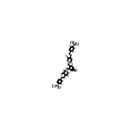 CCN(CC)c1ccc(/C=C/c2cc[n+](Cc3ccccc3C[n+]3ccc(/C=C/c4ccc(N(CC)CC)cc4)c(C)c3)cc2C)cc1.[Br-].[Br-]